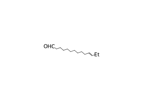 CC/C=C/CCCCCCCCCC=O